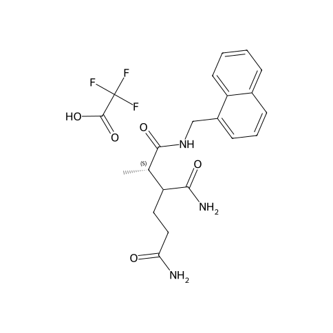 C[C@H](C(=O)NCc1cccc2ccccc12)C(CCC(N)=O)C(N)=O.O=C(O)C(F)(F)F